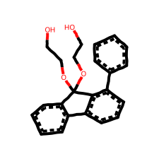 OCCOC1(OCCO)c2ccccc2-c2cccc(-c3ccccc3)c21